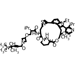 CCn1c(-c2cccnc2C(C)C)c2c3cc(ccc31)-c1csc(n1)C[C@H](NC(=O)[C@@H](COC1CN(C(=O)C#CC(C)(C)N(C)C)C1)C(C)C)C(=O)N1CCC[C@H](N1)C(=O)OCC(C)(C)C2